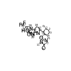 Cc1ccc(CN2CC(=O)N(C)C2=O)cc1-c1ccc2c(n1)N(C)S(O)(O)N2CC1CC1(F)F